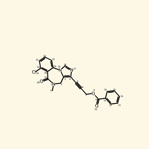 CN1Cc2c(C#CCOC(=O)c3ccccc3)ncn2-c2cccc(Cl)c2C1=O